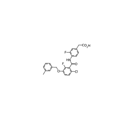 Cc1cccc(COc2ccc(Cl)c(C(=O)Nc3ccc(CC(=O)O)cc3F)c2F)c1